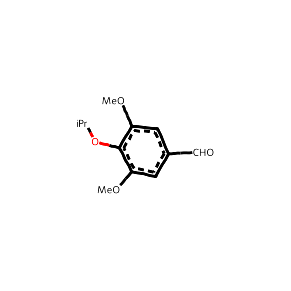 COc1cc(C=O)cc(OC)c1OC(C)C